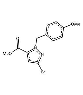 COC(=O)c1cc(Br)nn1Cc1ccc(OC)cc1